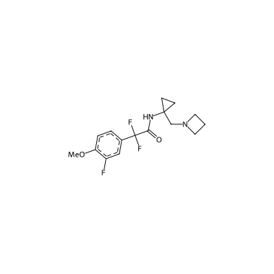 COc1ccc(C(F)(F)C(=O)NC2(CN3CCC3)CC2)cc1F